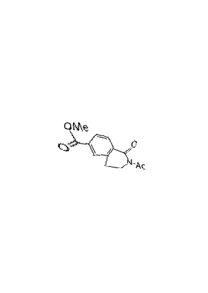 COC(=O)c1ccc2c(c1)CCN(C(C)=O)C2=O